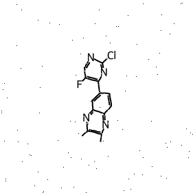 Cc1nc2ccc(-c3nc(Cl)ncc3F)cc2nc1C